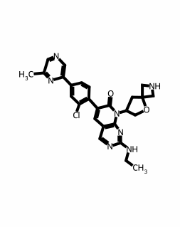 CCNc1ncc2cc(-c3ccc(-c4cncc(C)n4)cc3Cl)c(=O)n(C3COC4(CNC4)C3)c2n1